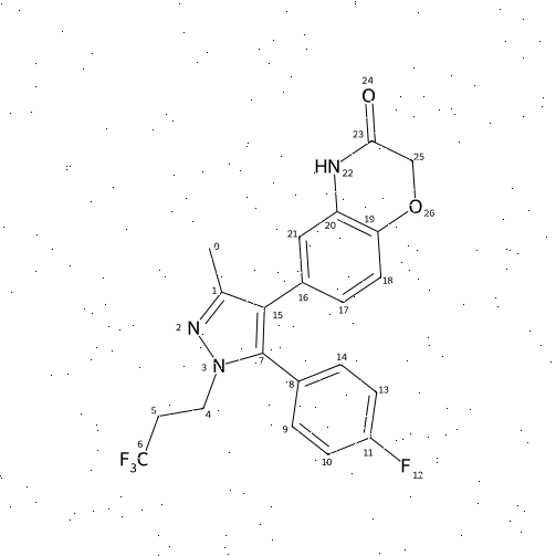 Cc1nn(CCC(F)(F)F)c(-c2ccc(F)cc2)c1-c1ccc2c(c1)NC(=O)CO2